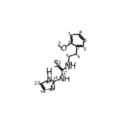 COc1ccccc1CCNC(=S)Nc1ncc[nH]1